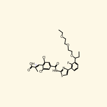 CCOCCOCCOC(CC)c1cccc(-c2csc(NC(=O)c3cc(Cl)c(/C=C(\C)C(=O)O)c(Cl)c3)n2)c1F